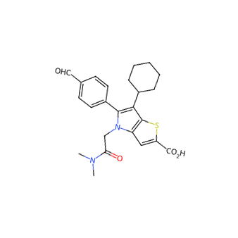 CN(C)C(=O)Cn1c(-c2ccc(C=O)cc2)c(C2CCCCC2)c2sc(C(=O)O)cc21